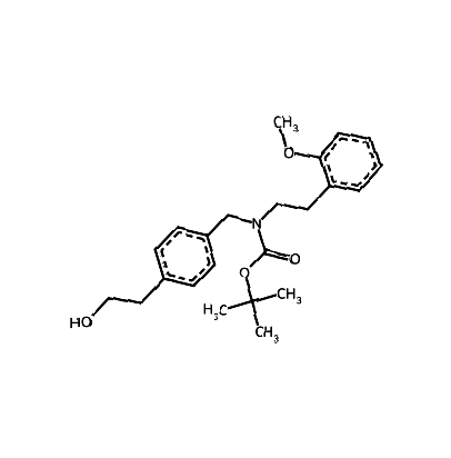 COc1ccccc1CCN(Cc1ccc(CCO)cc1)C(=O)OC(C)(C)C